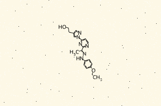 CCOc1ccc(N/N=C(\C)c2nccc(-n3cc(CCO)cn3)n2)cc1